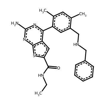 CCNC(=O)c1cc2c(-c3cc(CNCc4ccccc4)c(C)cc3C)nc(N)nc2s1